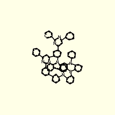 c1ccc(-c2cc(-c3ccc(-n4c5ccccc5c5ccccc54)c(-c4cc(-c5ccccc5)nc(-c5cccc(-c6cccc(N7c8ccccc8B8c9ccccc9N(c9ccccc9)c9cccc7c98)c6)c5)n4)c3)nc(-c3ccccc3)n2)cc1